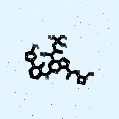 Cc1cnc(-n2cccc(Nc3cc(N(C)C(=O)OC(C)(C)C)n4ncc(C(=O)NC5CC[C@H]5O)c4n3)c2=O)s1